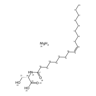 CCCCCCCC/C=C\CCCCCCCC(=O)N[C@@H](CO)C(=O)O.[MgH2]